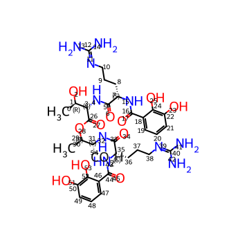 C[C@@H](O)[C@H](NC(=O)[C@H](CCCN=C(N)N)NC(=O)c1cccc(O)c1O)C(=O)O[C@H](C)[C@H](NC(=O)[C@H](CCCN=C(N)N)NC(=O)c1cccc(O)c1O)C(=O)O